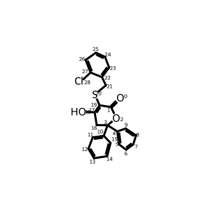 O=C1OC(c2ccccc2)(c2ccccc2)CC(O)=C1SCc1ccccc1Cl